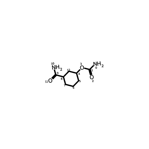 NC(=O)OC1CCCC(C(N)=O)C1